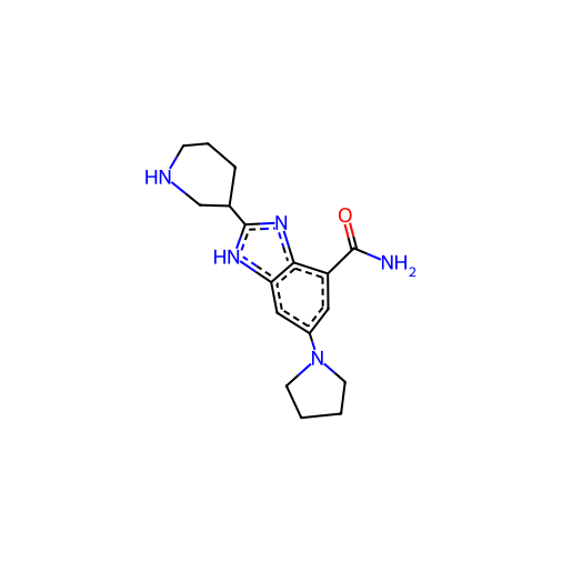 NC(=O)c1cc(N2CCCC2)cc2[nH]c(C3CCCNC3)nc12